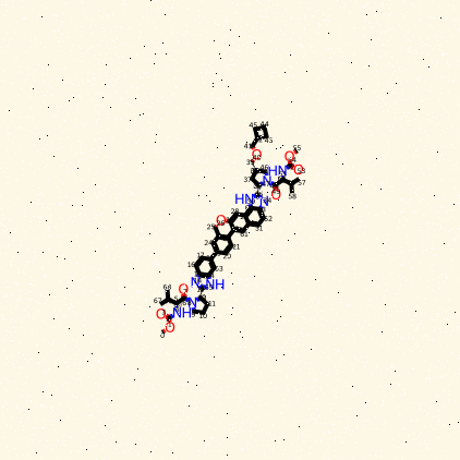 COC(=O)N[C@H](C(=O)N1CCC[C@H]1c1nc2ccc(-c3ccc4c(c3)COc3cc5c(ccc6nc([C@@H]7C[C@H](COCC8CCC8)CN7C(=O)[C@@H](NC(=O)OC)C(C)C)[nH]c65)cc3-4)cc2[nH]1)C(C)C